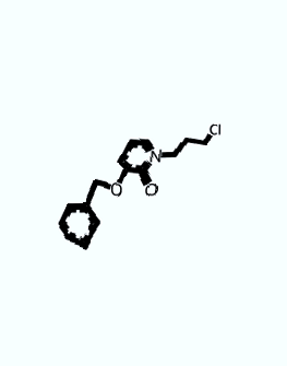 O=c1c(OCc2ccccc2)cccn1CCCCl